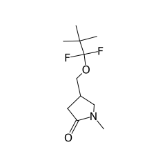 CN1CC(COC(F)(F)C(C)(C)C)CC1=O